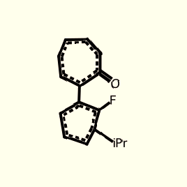 CC(C)c1cccc(-c2cccccc2=O)c1F